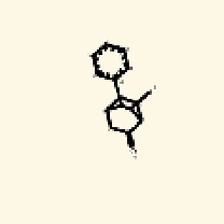 O=C1CC2CCC1C(I)C2c1ccccc1